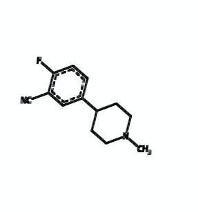 CN1CCC(c2ccc(F)c(C#N)c2)CC1